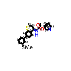 CSc1cccc(-c2ccc3c(c2)SCCC3NC(=O)O[C@@H]2CN3CCC2CC3)c1